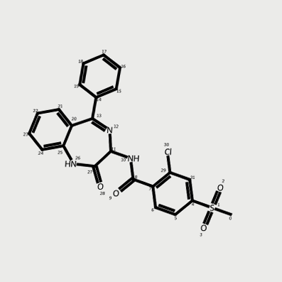 CS(=O)(=O)c1ccc(C(=O)NC2N=C(c3ccccc3)c3ccccc3NC2=O)c(Cl)c1